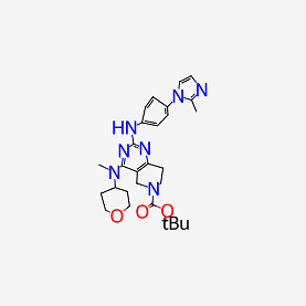 Cc1nccn1-c1ccc(Nc2nc3c(c(N(C)C4CCOCC4)n2)CN(C(=O)OC(C)(C)C)CC3)cc1